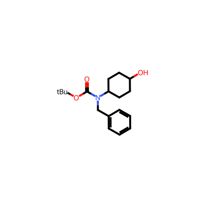 CC(C)(C)OC(=O)N(Cc1ccccc1)C1CCC(O)CC1